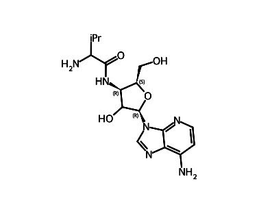 CC(C)C(N)C(=O)N[C@@H]1C(O)[C@H](n2cnc3c(N)ccnc32)O[C@@H]1CO